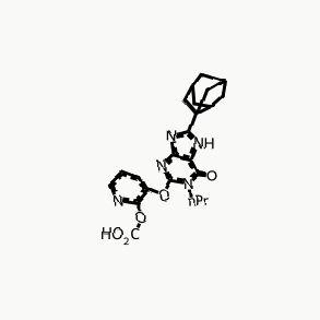 CCCn1c(Oc2cccnc2OC(=O)O)nc2nc(C34CC5CC(CC3C5)C4)[nH]c2c1=O